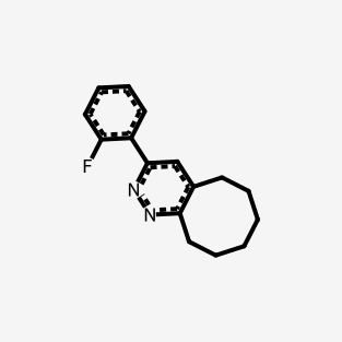 Fc1ccccc1-c1cc2c(nn1)CCCCCC2